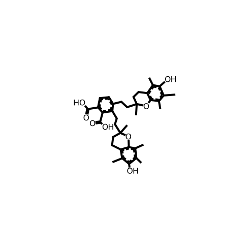 Cc1c(C)c2c(c(C)c1O)CCC(C)(CCc1ccc(C(=O)O)c(C(=O)O)c1CCC1(C)CCc3c(C)c(O)c(C)c(C)c3O1)O2